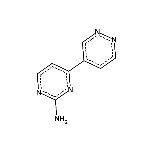 Nc1nccc(-c2ccnnc2)n1